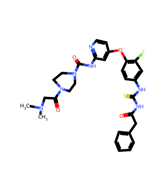 CN(C)CC(=O)N1CCN(C(=O)Nc2cc(Oc3ccc(NC(=S)NC(=O)Cc4ccccc4)cc3F)ccn2)CC1